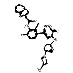 Cc1c(-c2cc(Nc3ccc(N4CC(O)C4)cn3)c(=O)[nH]n2)ccc(F)c1NC(=O)c1cc2ccccc2s1